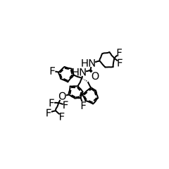 O=C(NC1CCC(F)(F)CC1)N[C@](Cc1ccccc1)(c1ccc(F)cc1)c1cc(F)cc(OC(F)(F)C(F)F)c1